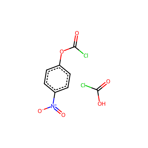 O=C(Cl)Oc1ccc([N+](=O)[O-])cc1.O=C(O)Cl